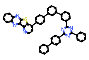 c1ccc(-c2ccc(-c3nc(-c4ccccc4)nc(-c4cccc(-c5cccc(-c6ccc(-c7ccnc8c7sc7nc9ccccc9nc78)cc6)c5)c4)n3)cc2)cc1